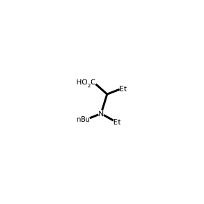 CCCCN(CC)C(CC)C(=O)O